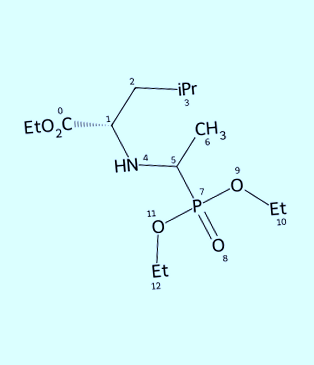 CCOC(=O)[C@H](CC(C)C)NC(C)P(=O)(OCC)OCC